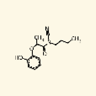 CCCCN(C#N)C(=O)C(C)Oc1ccccc1O